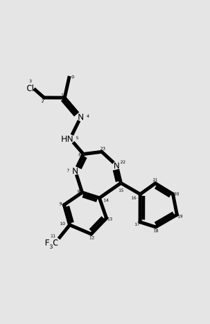 CC(CCl)=NNC1=Nc2cc(C(F)(F)F)ccc2C(c2ccccc2)=NC1